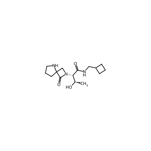 C[C@@H](O)[C@@H](C(=O)NCC1CCC1)N1CC2(CCCN2)C1=O